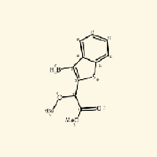 Bc1c(C(OC(C)(C)C)C(=O)OC)sc2ccccc12